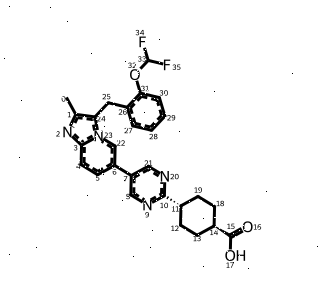 Cc1nc2ccc(-c3cnc([C@H]4CC[C@H](C(=O)O)CC4)nc3)cn2c1Cc1ccccc1OC(F)F